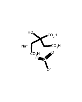 O=C(O)CC(O)(CC(=O)O)C(=O)O.O=P(=O)[O-].[Na+]